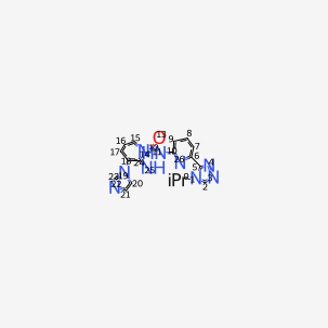 CC(C)n1cnnc1-c1cccc(NC(=O)n2cccc(-n3ccnc3)c2=N)n1